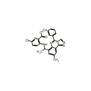 COC(=O)c1nc(Cl)ccc1NC(C)c1cc(C)cc2c1nc(-c1ccccc1)n1cnnc21